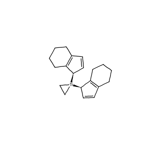 C1=C[C@@H]([Ti]2([C@@H]3C=CC4=C3CCCC4)[CH2][CH2]2)C2=C1CCCC2